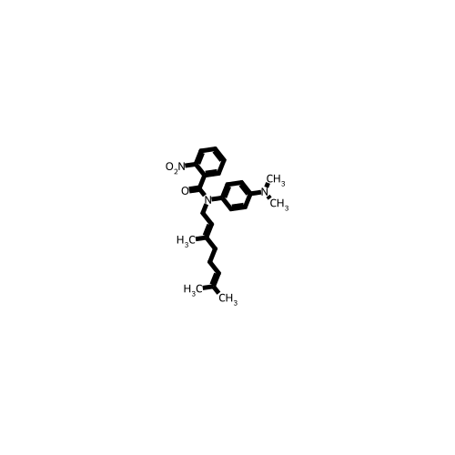 CC(C)=CCC/C(C)=C/CN(C(=O)c1ccccc1[N+](=O)[O-])c1ccc(N(C)C)cc1